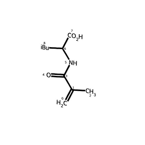 C=C(C)C(=O)NC(C(=O)O)C(C)CC